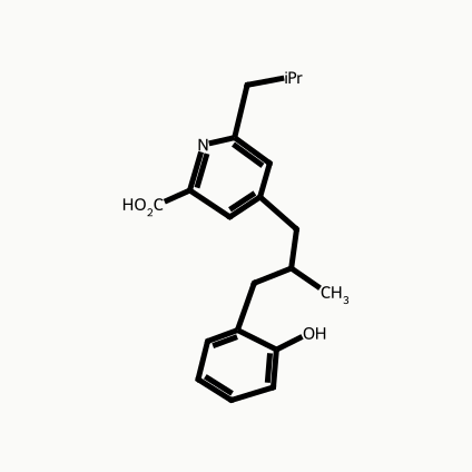 CC(C)Cc1cc(CC(C)Cc2ccccc2O)cc(C(=O)O)n1